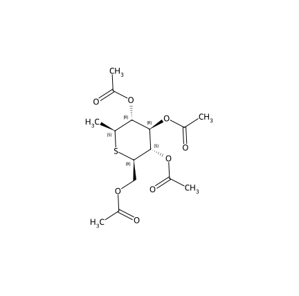 CC(=O)OC[C@H]1S[C@@H](C)[C@H](OC(C)=O)[C@@H](OC(C)=O)[C@@H]1OC(C)=O